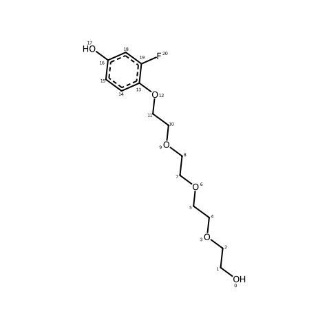 OCCOCCOCCOCCOc1ccc(O)cc1F